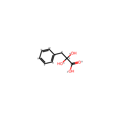 O=C(O)C(O)(O)Cc1ccccc1